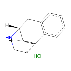 Cl.c1ccc2c(c1)C[C@H]1NCC[C@@]23CCCC[C@@H]13